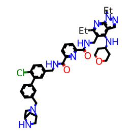 CCc1nc2c(cnn2CC)c(NC2CCOCC2)c1CNC(=O)c1cccc(C(=O)NCc2ccc(Cl)c(-c3cccc(CN4CC5CC4CN5)c3)c2)n1